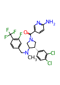 CN(Cc1ccc(C(F)(F)F)c(F)c1)[C@H]1CN(C(=O)c2ccc(N)nc2)C[C@@H]1c1ccc(Cl)c(Cl)c1